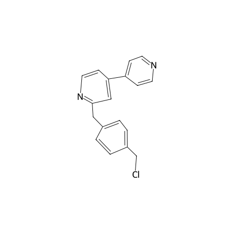 ClCc1ccc(Cc2cc(-c3ccncc3)ccn2)cc1